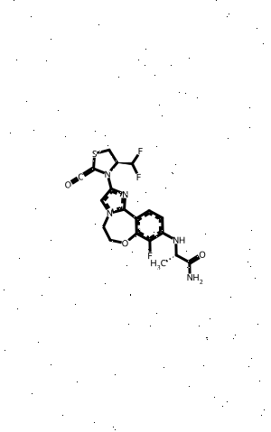 C[C@H](Nc1ccc2c(c1F)OCCn1cc(N3C(=C=O)SC[C@H]3C(F)F)nc1-2)C(N)=O